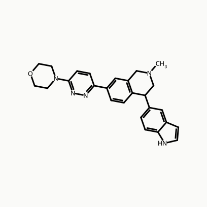 CN1Cc2cc(-c3ccc(N4CCOCC4)nn3)ccc2C(c2ccc3[nH]ccc3c2)C1